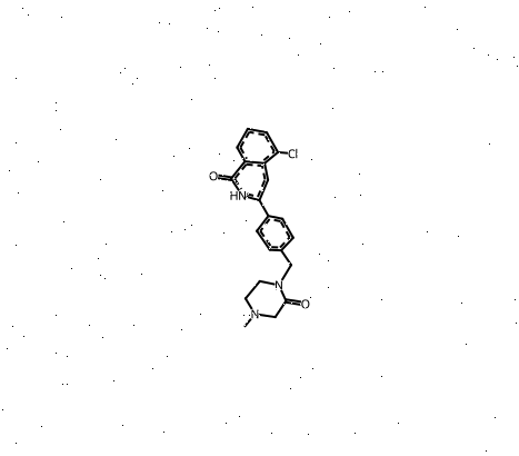 CN1CCN(Cc2ccc(-c3cc4c(Cl)cccc4c(=O)[nH]3)cc2)C(=O)C1